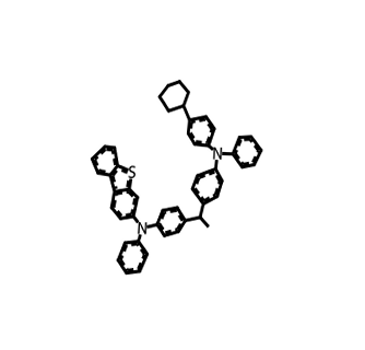 CC(c1ccc(N(c2ccccc2)c2ccc(C3CCCCC3)cc2)cc1)c1ccc(N(c2ccccc2)c2ccc3c(c2)sc2ccccc23)cc1